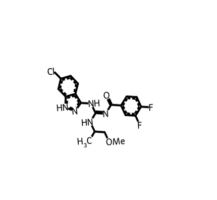 COCC(C)NC(=NC(=O)c1ccc(F)c(F)c1)Nc1n[nH]c2cc(Cl)ccc12